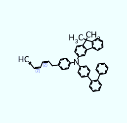 C#C/C=C\C=C/Cc1ccc(N(c2ccc(-c3ccccc3-c3ccccc3)cc2)c2ccc3c(c2)-c2ccccc2C3(C)C)cc1